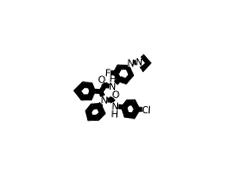 O=C(NC1=CCC(=NN2CCC2)C=C1F)C(c1ccccc1)N(C(=O)Nc1ccc(Cl)cc1)c1ccccc1